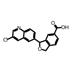 O=C(O)c1ccc2c(c1)C(c1ccc3ncc(Cl)cc3c1)OC2